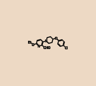 CCOc1ccc(N2CCC(Oc3ccc(Cl)cc3)CC2)c(C=O)n1